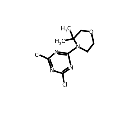 CC1(C)COCCN1c1nc(Cl)nc(Cl)n1